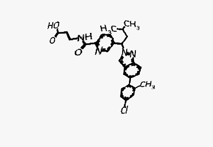 Cc1cc(Cl)ccc1-c1ccc2nn(C(CC(C)C)c3ccc(C(=O)NCCC(=O)O)nc3)cc2c1